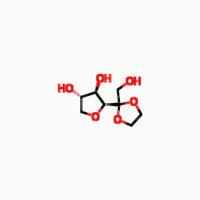 OCC1([C@H]2OC[C@H](O)[C@H]2O)OCCO1